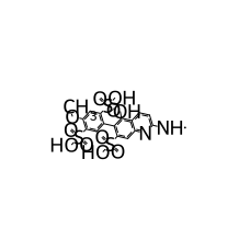 COc1cc(S(=O)(=O)O)c(-c2c(S(=O)(=O)O)cc3nc([NH])ccc3c2O)cc1S(=O)(=O)O